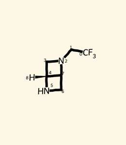 FC(F)(F)CN1C[C@H]2NCC21